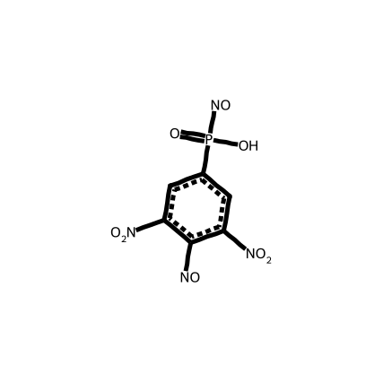 O=Nc1c([N+](=O)[O-])cc(P(=O)(O)N=O)cc1[N+](=O)[O-]